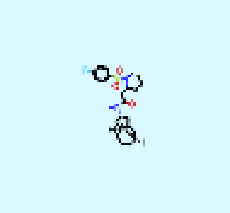 O=C(CC1CCCCN1S(=O)(=O)c1ccc(F)cc1)N[C@@]12CC3C[C@H](CCC[C@H]3C1)C2